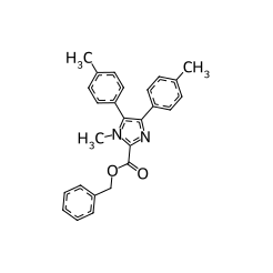 Cc1ccc(-c2nc(C(=O)OCc3ccccc3)n(C)c2-c2ccc(C)cc2)cc1